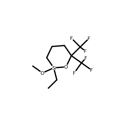 CC[Si]1(OC)CCCC(C(F)(F)F)(C(F)(F)F)O1